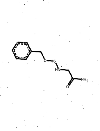 NC(=O)CNSOCc1ccccc1